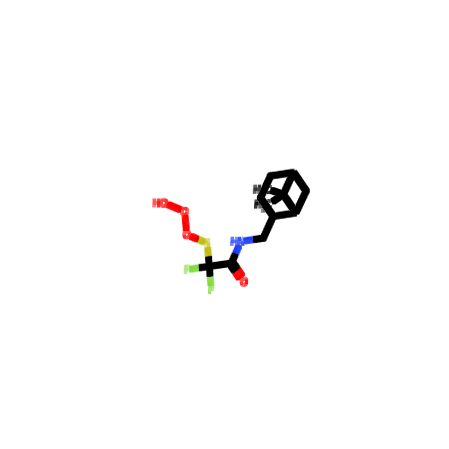 CC1(C)C2CCC(CNC(=O)C(F)(F)SOOO)C1C2